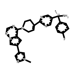 Cn1cc(-c2cc3c(N4CC=C(c5ncc([C@@](C)(N)c6ccc(F)cc6)cn5)CC4)ncnn3c2)cn1